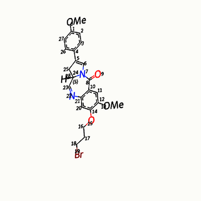 COc1ccc(C2=CN3C(=O)c4cc(OC)c(OCCCBr)cc4N=C[C@@H]3C2)cc1